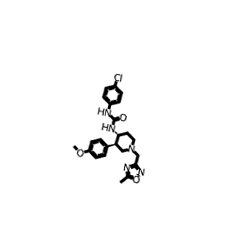 COc1ccc([C@@H]2CN(Cc3noc(C)n3)CC[C@H]2NC(=O)Nc2ccc(Cl)cc2)cc1